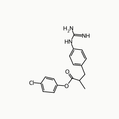 CC(Cc1ccc(NC(=N)N)cc1)C(=O)Oc1ccc(Cl)cc1